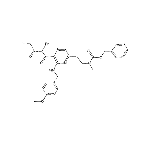 CCC(=O)C(Br)C(=O)c1ncc(CCN(C)C(=O)OCc2ccccc2)nc1NCc1ccc(OC)cc1